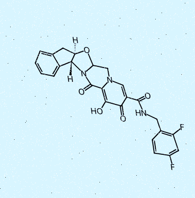 O=C(NCc1ccc(F)cc1F)c1cn2c(c(O)c1=O)C(=O)N1C(C2)O[C@@H]2Cc3ccccc3[C@H]21